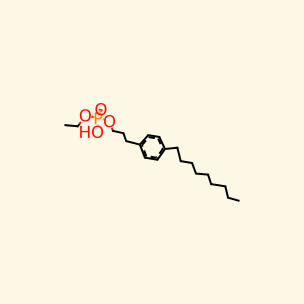 CCCCCCCCCc1ccc(CCCOP(=O)(O)OCC)cc1